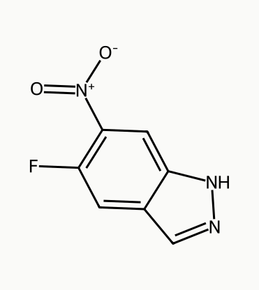 O=[N+]([O-])c1cc2[nH]ncc2cc1F